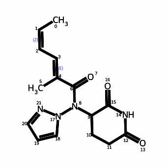 C/C=C\C=C(/C)C(=O)N(C1CCC(=O)NC1=O)n1cccn1